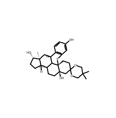 CC1(C)COC2(CC[C@@]34Sc5cc(O)ccc5[C@H]5C[C@]6(C)[C@@H](O)CC[C@H]6[C@H](CC[C@@]3(O)C2)C54)OC1